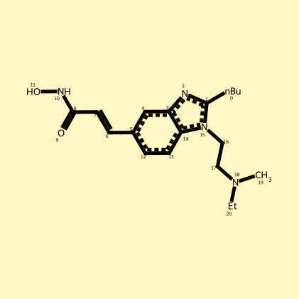 CCCCc1nc2cc(C=CC(=O)NO)ccc2n1CCN(C)CC